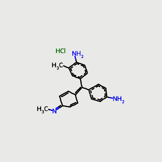 CN=C1C=CC(=C(c2ccc(N)cc2)c2ccc(N)c(C)c2)C=C1.Cl